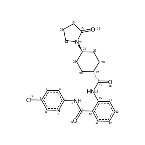 O=C(Nc1ccc(Cl)cn1)c1ccccc1NC(=O)[C@H]1CC[C@H](N2CCCC2=O)CC1